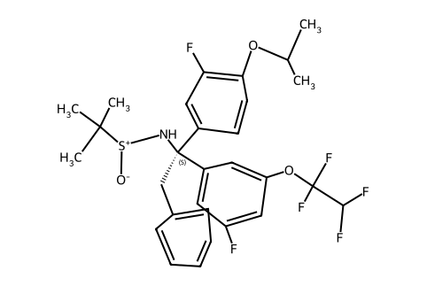 CC(C)Oc1ccc([C@](Cc2ccccc2)(N[S+]([O-])C(C)(C)C)c2cc(F)cc(OC(F)(F)C(F)F)c2)cc1F